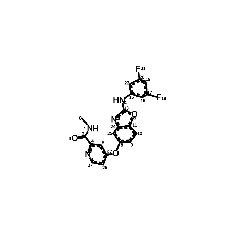 CNC(=O)c1cc(Oc2ccc3oc(Nc4cc(F)cc(F)c4)nc3c2)ccn1